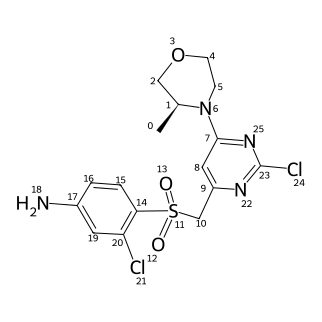 C[C@H]1COCCN1c1cc(CS(=O)(=O)c2ccc(N)cc2Cl)nc(Cl)n1